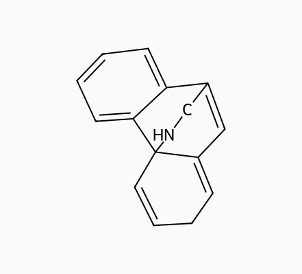 C1=CC23NCC(=CC2=CC1)c1ccccc13